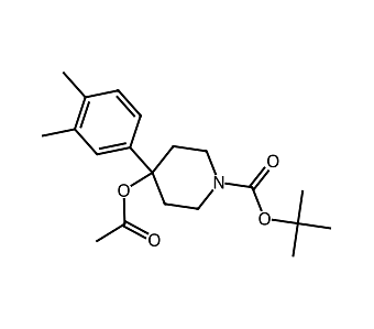 CC(=O)OC1(c2ccc(C)c(C)c2)CCN(C(=O)OC(C)(C)C)CC1